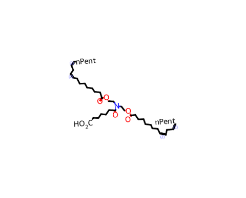 CCCCC/C=C\C/C=C\CCCCCCCC(=O)OCCN(CCOC(=O)CCCCCCC/C=C\C/C=C\CCCCC)C(=O)CCCCCC(=O)O